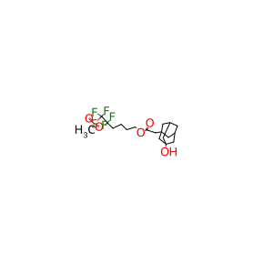 CS(=O)(=O)C(F)(F)C(F)(F)CCCCOC(=O)CC12CC3CC(CC(O)(C3)C1)C2